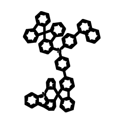 c1ccc2c(c1)-c1ccccc1C21c2ccccc2-c2c(N(c3ccc(-c4ccc5c(c4)C4(c6ccccc6-5)c5ccccc5-n5c6ccccc6c6cccc4c65)cc3)c3ccc(-c4cccc5ccccc45)cc3)cccc21